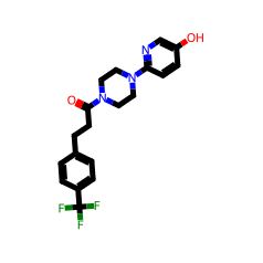 O=C(CCc1ccc(C(F)(F)F)cc1)N1CCN(c2ccc(O)cn2)CC1